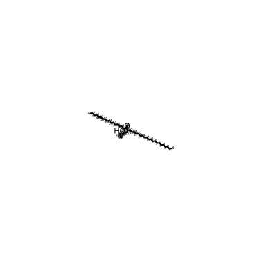 CCCCCCCCCCCCCCCCCCCCCC([P-]C(O)C[N+](C)(C)C)C(=O)CCCCCCCCCCCCCCCCC